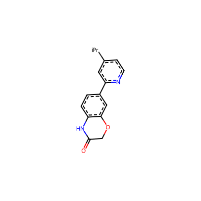 CC(C)c1ccnc(-c2ccc3c(c2)OCC(=O)N3)c1